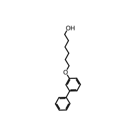 OCCCCCCOc1cccc(-c2ccccc2)c1